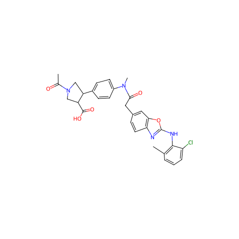 CC(=O)N1CC(C(=O)O)C(c2ccc(N(C)C(=O)Cc3ccc4nc(Nc5c(C)cccc5Cl)oc4c3)cc2)C1